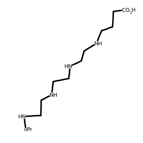 CCCNCCNCCNCCNCCCC(=O)O